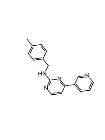 Cc1ccc(CNc2nccc(-c3cccnc3)n2)cc1